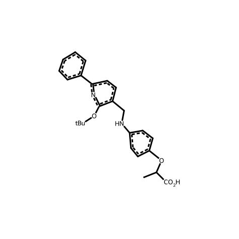 CC(Oc1ccc(NCc2ccc(-c3ccccc3)nc2OC(C)(C)C)cc1)C(=O)O